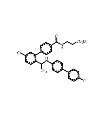 CCOC(=O)CCNC(=O)c1ccc(-c2cc(Cl)ccc2C(C)Nc2ccc(-c3ccc(Cl)cc3)cc2)cc1